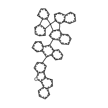 c1ccc2c(c1)-c1ccccc1C21c2ccc3ccccc3c2-c2c1cc(-c1c3ccccc3c(-c3ccc4oc5c6ccccc6ccc5c4c3)c3ccccc13)c1ccccc21